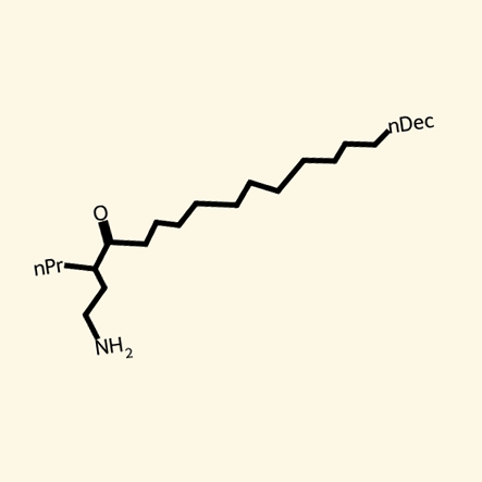 CCCCCCCCCCCCCCCCCCCCCC(=O)C(CCC)CCN